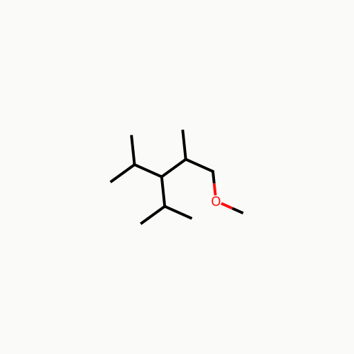 COCC(C)C(C(C)C)C(C)C